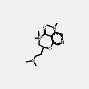 CN(C)CCC1C[N+](C)(C)C(=O)c2c(cncc2N(C)C)O1